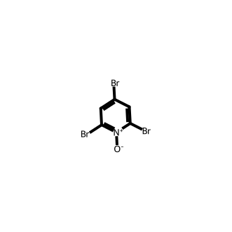 [O-][n+]1c(Br)cc(Br)cc1Br